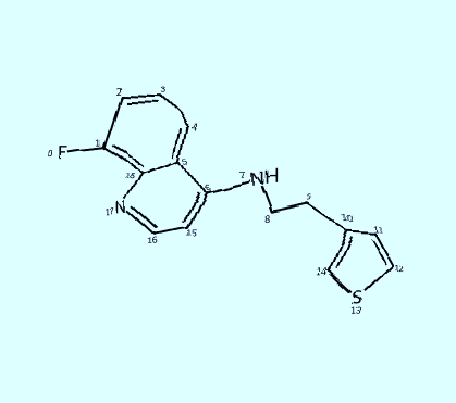 Fc1cccc2c(NCCc3ccsc3)ccnc12